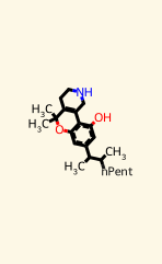 CCCCCC(C)C(C)c1cc(O)c2c(c1)OC(C)(C)C1=C2CNCC1